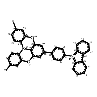 Cc1ccc2c(c1)Oc1cc(-c3ccc(-n4c5ccccc5c5ccccc54)cc3)cc3c1B2c1ccc(C)cc1O3